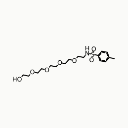 Cc1ccc(S(=O)(=O)NCCOCCOCCOCCOCCO)cc1